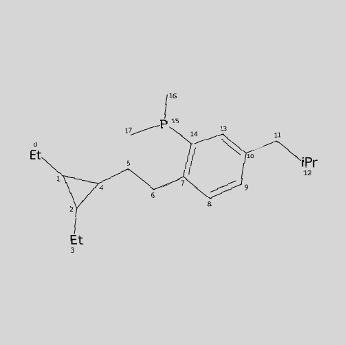 CCC1C(CC)C1CCc1ccc(CC(C)C)cc1P(C)C